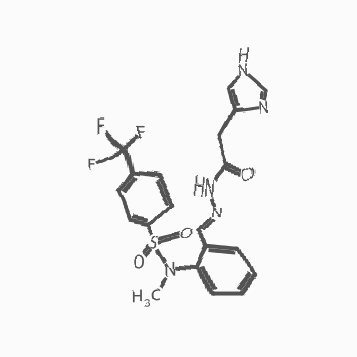 CN(c1ccccc1/C=N/NC(=O)Cc1c[nH]cn1)S(=O)(=O)c1ccc(C(F)(F)F)cc1